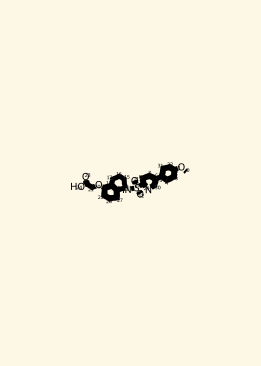 COc1ccc(-c2ccc(S(=O)(=O)NC3CCCc4c(OCC(=O)O)cccc43)nc2)cc1